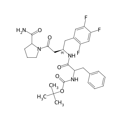 CC(C)(C)OC(=O)NC(Cc1ccccc1)C(=O)N[C@@H](CC(=O)N1CCCC1C(N)=O)Cc1cc(F)c(F)cc1F